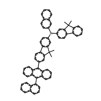 CC1(C)c2ccccc2-c2ccc(N(c3ccc4c(c3)C(C)(C)c3cc(-c5c6ccccc6c(-c6cccc7ccccc67)c6ccccc56)ccc3-4)c3ccc4ccccc4c3)cc21